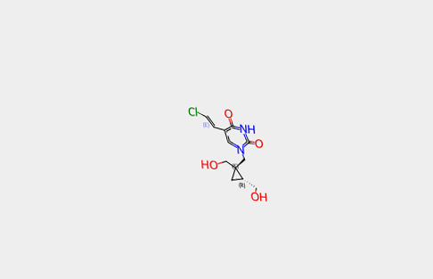 O=c1[nH]c(=O)n(C[C@]2(CO)C[C@H]2CO)cc1/C=C/Cl